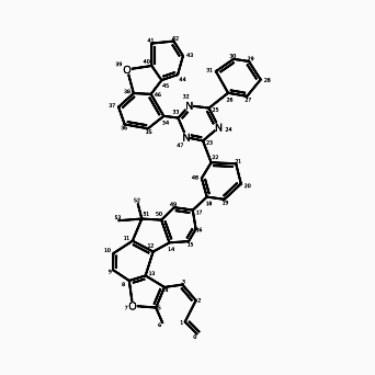 C=C/C=C\c1c(C)oc2ccc3c(c12)-c1ccc(-c2cccc(-c4nc(-c5ccccc5)nc(-c5cccc6oc7ccccc7c56)n4)c2)cc1C3(C)C